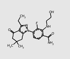 CCc1nn(-c2ccc(C(N)=O)c(NCCO)c2F)c2c1C(=O)CC(C)(C)C2